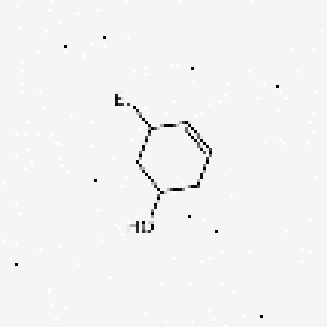 CCC1C=CCC(O)C1